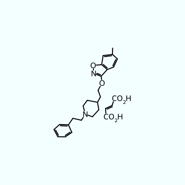 Cc1ccc2c(OCCC3CCN(CCc4ccccc4)CC3)noc2c1.O=C(O)C=CC(=O)O